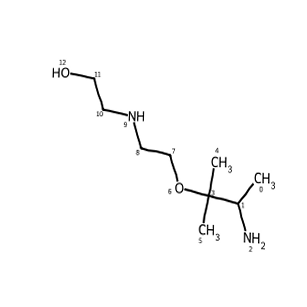 CC(N)C(C)(C)OCCNCCO